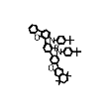 CC(C)(C)c1ccc(N2B3c4cc(C(C)(C)C)ccc4-n4c5ccc6c7ccccc7oc6c5c5ccc(c3c54)-c3cc4oc5cc6c(cc5c4cc32)C(C)(C)CCC6(C)C)cc1